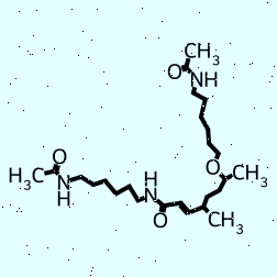 CC(=O)NCCCCCCNC(=O)/C=C/C(C)CCC(C)OCCCCCCNC(C)=O